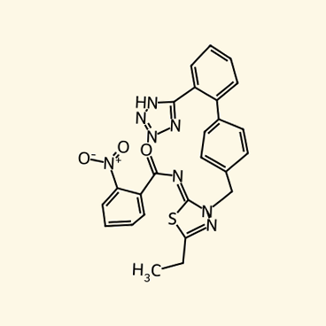 CCc1nn(Cc2ccc(-c3ccccc3-c3nnn[nH]3)cc2)c(=NC(=O)c2ccccc2[N+](=O)[O-])s1